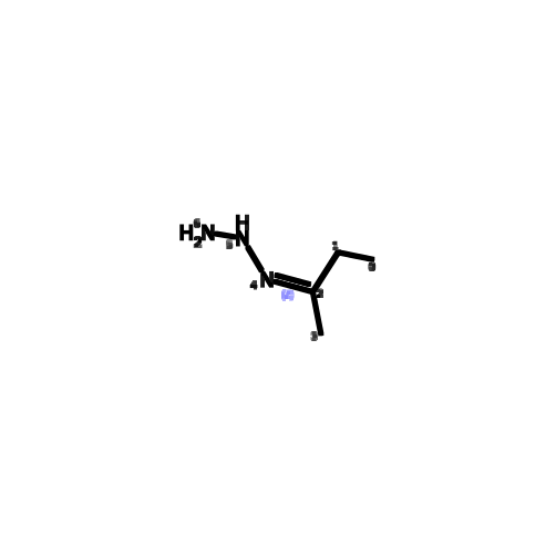 CC/C(C)=N\NN